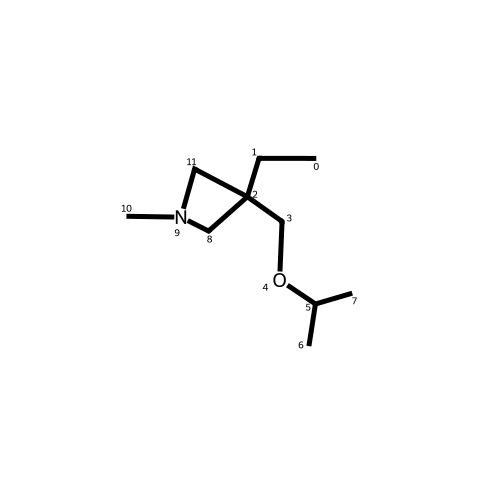 CCC1(COC(C)C)CN(C)C1